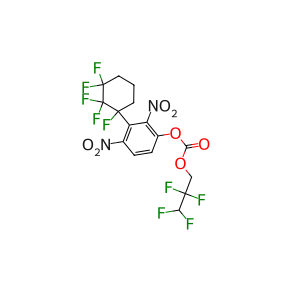 O=C(OCC(F)(F)C(F)F)Oc1ccc([N+](=O)[O-])c(C2(F)CCCC(F)(F)C2(F)F)c1[N+](=O)[O-]